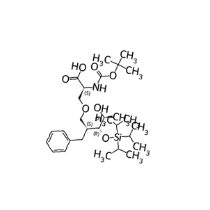 CC(C)[Si](O[C@H]([C@H](COC[C@H](NC(=O)OC(C)(C)C)C(=O)O)Cc1ccccc1)[C@H](C)O)(C(C)C)C(C)C